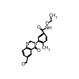 CCONC(=O)c1ccc(C)c(-n2cnc3ccc(C=O)cc3c2=O)c1